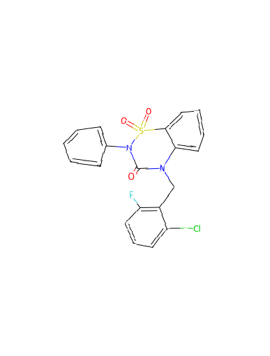 O=C1N(Cc2c(F)cccc2Cl)c2ccccc2S(=O)(=O)N1c1ccccc1